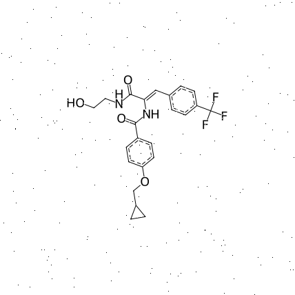 O=C(NCCO)/C(=C/c1ccc(C(F)(F)F)cc1)NC(=O)c1ccc(OCC2CC2)cc1